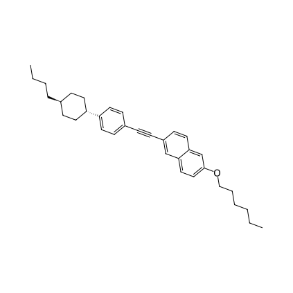 CCCCCCOc1ccc2cc(C#Cc3ccc([C@H]4CC[C@H](CCCC)CC4)cc3)ccc2c1